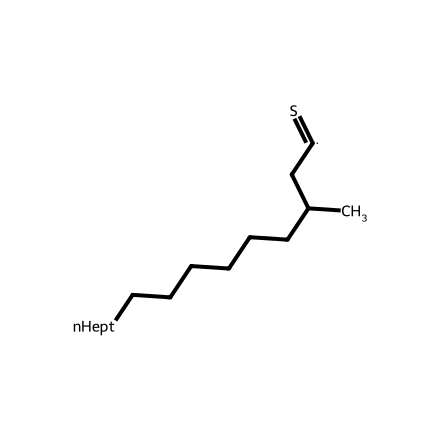 CCCCCCCCCCCCCC(C)C[C]=S